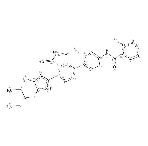 CCN(CC)Cc1[nH]c(-c2ccc(-c3ccc(NC(=O)c4ccccc4F)cc3F)c3c2C(=O)NC3)nc1C